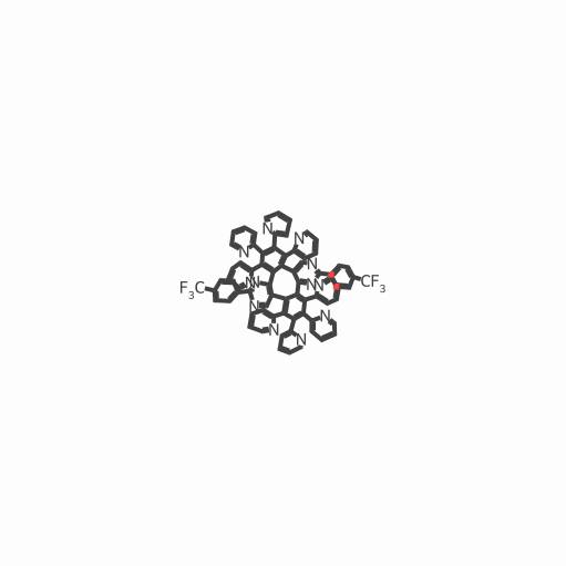 FC(F)(F)c1ccc(-c2ncc3c(n2)-c2c(-c4ccccn4)c(-c4ccccn4)c(-c4ccccn4)c(-c4ccccn4)c2-c2cnc(-c4ccc(C(F)(F)F)cc4)nc2-c2c(-c4ccccn4)c(-c4ccccn4)c(-c4ccccn4)c(-c4ccccn4)c2-3)cc1